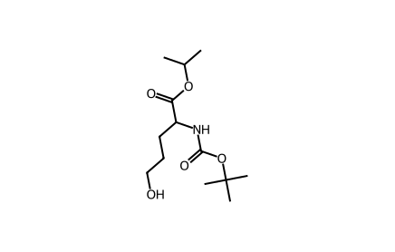 CC(C)OC(=O)C(CCCO)NC(=O)OC(C)(C)C